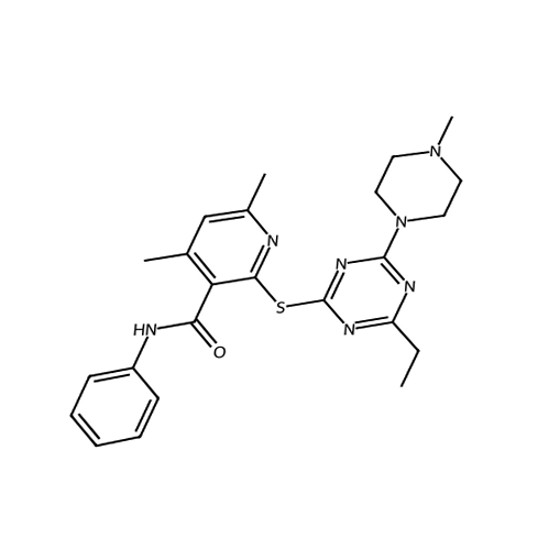 CCc1nc(Sc2nc(C)cc(C)c2C(=O)Nc2ccccc2)nc(N2CCN(C)CC2)n1